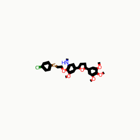 CNc1cc(C2CCC(c3cc(OC)c(OC)c(OC)c3)O2)cc(OC)c1OCCSc1ccc(Cl)cc1